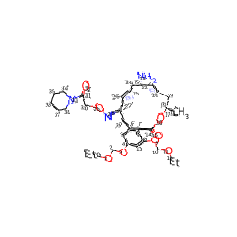 CCOCOc1cc2c(c(OCOCC)c1)C(=O)O[C@H](C)C/C=C/[C@@H](N)C/C=C/C(=NOCC(=O)N1CCCCC1)C2